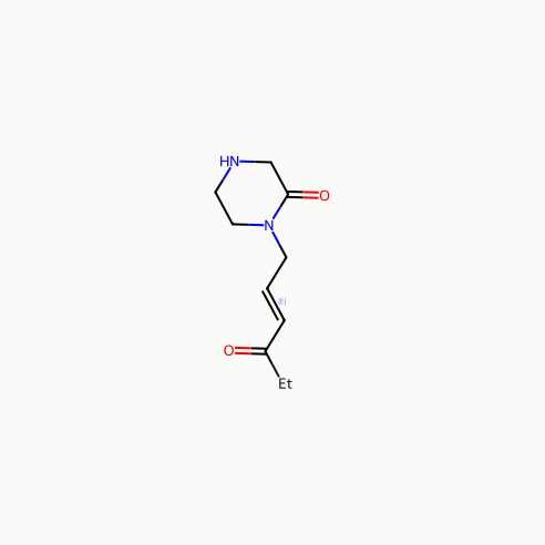 CCC(=O)/C=C/CN1CCNCC1=O